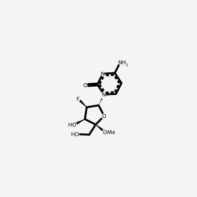 CO[C@]1(CO)O[C@@H](n2ccc(N)nc2=O)[C@H](F)[C@@H]1O